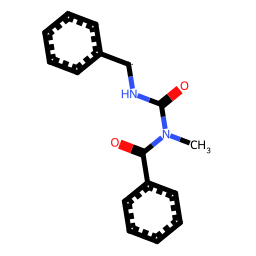 CN(C(=O)N[CH]c1ccccc1)C(=O)c1ccccc1